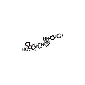 C[C@@](O)(c1ccccc1)c1cnc(N2CCN(c3ncnc(Nc4ccc(N5CCOCC5)cc4)n3)CC2)nc1